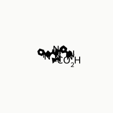 Cn1cc(-c2cccc(-c3ncc(-c4cnn(C5CCCCC5)c4)cn3)c2)cn1.O=C(O)NC1CC1